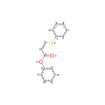 O=C(/C=C\Sc1ccccc1)Oc1ccccc1